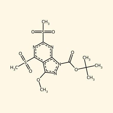 COc1nn(C(=O)OC(C)(C)C)c2nc(S(C)(=O)=O)nc(S(C)(=O)=O)c12